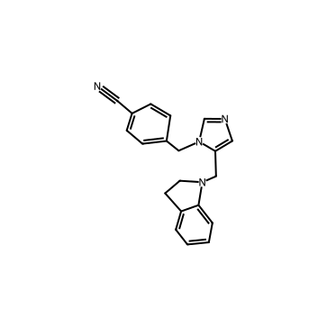 N#Cc1ccc(Cn2cncc2CN2CCc3ccccc32)cc1